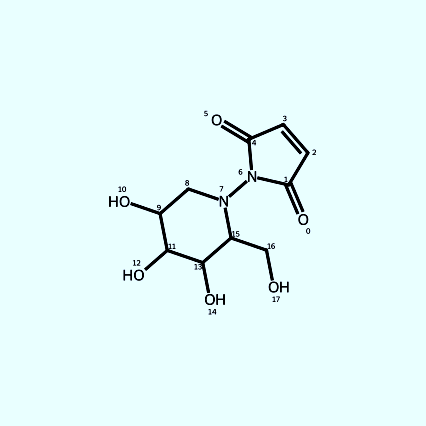 O=C1C=CC(=O)N1N1CC(O)C(O)C(O)C1CO